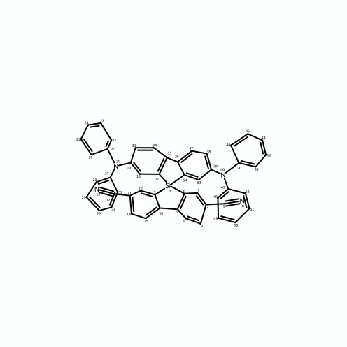 N#Cc1ccc2c(c1)[Si]1(c3cc(C#N)ccc3-2)c2cc(N(c3ccccc3)c3ccccc3)ccc2-c2ccc(N(c3ccccc3)c3ccccc3)cc21